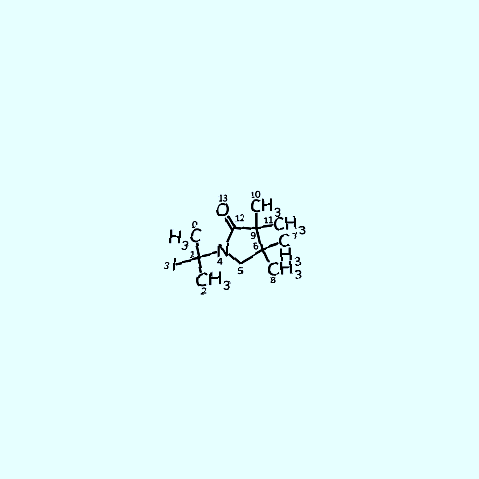 CC(C)(I)N1CC(C)(C)C(C)(C)C1=O